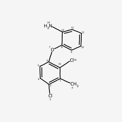 Cc1c(Cl)ccc(Oc2ccccc2N)c1Cl